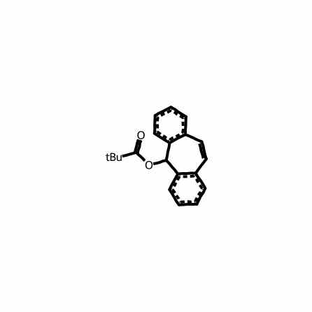 CC(C)(C)C(=O)OC1c2ccccc2C=Cc2ccccc21